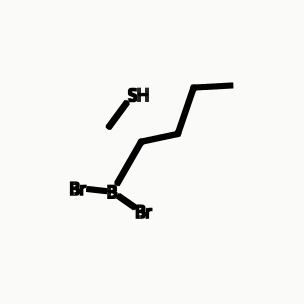 CCCCB(Br)Br.CS